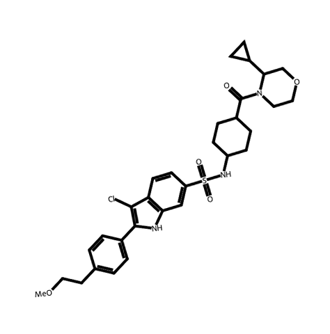 COCCc1ccc(-c2[nH]c3cc(S(=O)(=O)NC4CCC(C(=O)N5CCOCC5C5CC5)CC4)ccc3c2Cl)cc1